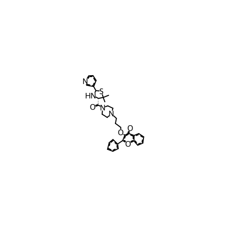 CC1(C)SC(c2cccnc2)N[C@H]1C(=O)N1CCN(CCCOc2c(-c3ccccc3)oc3ccccc3c2=O)CC1